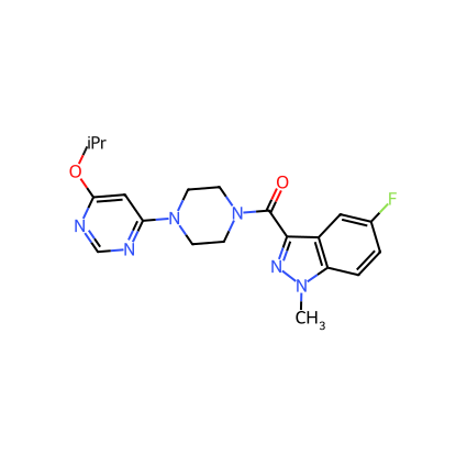 CC(C)Oc1cc(N2CCN(C(=O)c3nn(C)c4ccc(F)cc34)CC2)ncn1